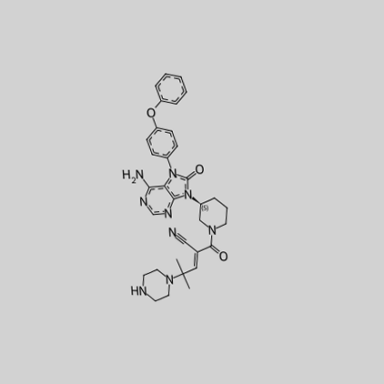 CC(C)(C=C(C#N)C(=O)N1CCC[C@H](n2c(=O)n(-c3ccc(Oc4ccccc4)cc3)c3c(N)ncnc32)C1)N1CCNCC1